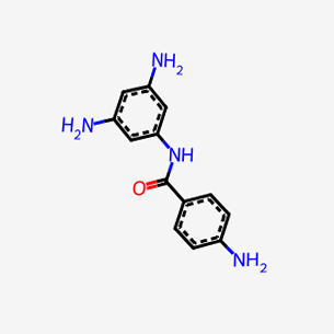 Nc1ccc(C(=O)Nc2cc(N)cc(N)c2)cc1